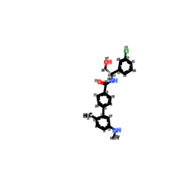 CCCNc1ccc(C)c(-c2ccc(C(=O)N[C@H](CO)c3cccc(Cl)c3)cc2)c1